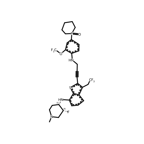 CN1CC[C@H](Nc2cccc3c(CC(F)(F)F)c(C#CCNc4ccc(P5(=O)CCCCC5)cc4OC(F)(F)F)sc23)[C@H](F)C1